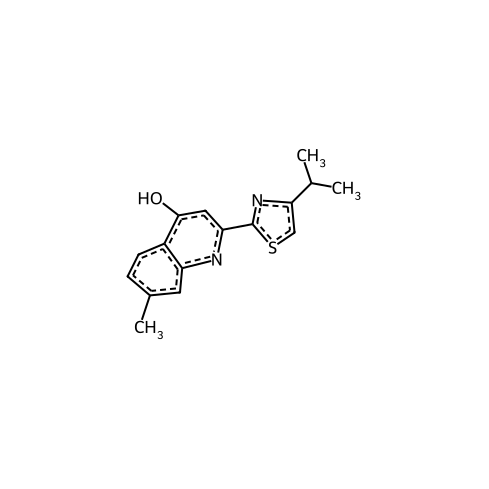 Cc1ccc2c(O)cc(-c3nc(C(C)C)cs3)nc2c1